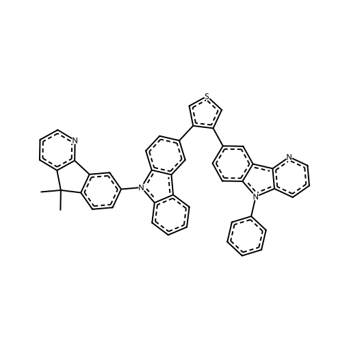 CC1(C)c2ccc(-n3c4ccccc4c4cc(-c5cscc5-c5ccc6c(c5)c5ncccc5n6-c5ccccc5)ccc43)cc2-c2ncccc21